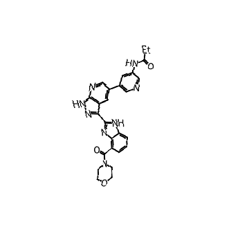 CCC(=O)Nc1cncc(-c2cnc3[nH]nc(-c4nc5c(C(=O)N6CCOCC6)cccc5[nH]4)c3c2)c1